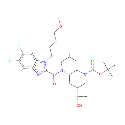 COCCCCn1c(C(=O)N(CC(C)C)[C@H]2C[C@@H](C(C)(C)O)CN(C(=O)OC(C)(C)C)C2)nc2cc(F)c(F)cc21